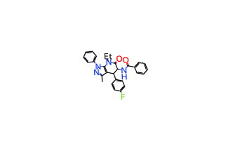 CCN1C(=O)C(NC(=O)c2ccccc2)C(c2ccc(F)cc2)c2c(C)nn(-c3ccccc3)c21